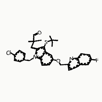 CC(C)(C=O)Cc1c(SC(C)(C)C)c2cc(OCc3ccc4cc(F)ccc4n3)ccc2n1Cc1ccc(Cl)cc1